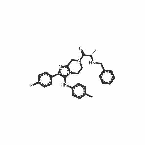 Cc1ccc(Nc2c(-c3ccc(F)cc3)nc3n2CCN(C(=O)[C@H](C)NCc2ccccc2)C3)cc1